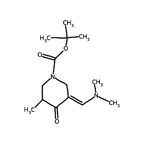 CC1CN(C(=O)OC(C)(C)C)C/C(=C\N(C)C)C1=O